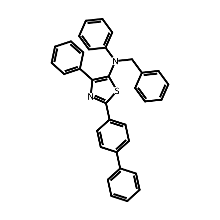 c1ccc(CN(c2ccccc2)c2sc(-c3ccc(-c4ccccc4)cc3)nc2-c2ccccc2)cc1